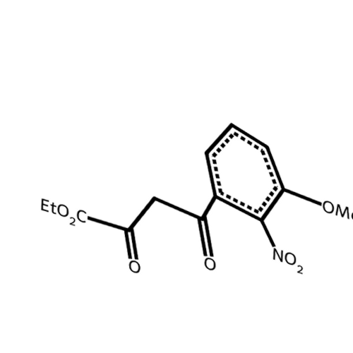 CCOC(=O)C(=O)CC(=O)c1cccc(OC)c1[N+](=O)[O-]